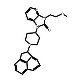 COCCn1c(=O)n(C2CCN(C3Cc4cccc5cccc3c45)CC2)c2cccnc21